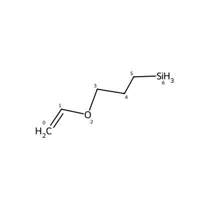 C=COCCC[SiH3]